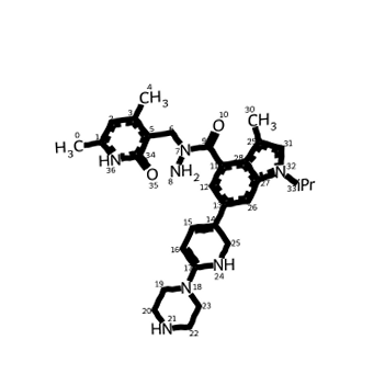 Cc1cc(C)c(CN(N)C(=O)c2cc(C3=CC=C(N4CCNCC4)NC3)cc3c2c(C)cn3C(C)C)c(=O)[nH]1